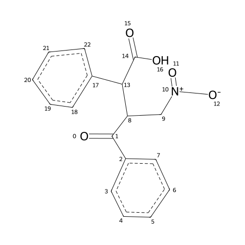 O=C(c1ccccc1)C(C[N+](=O)[O-])C(C(=O)O)c1ccccc1